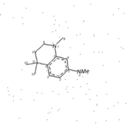 CNc1ccc2c(c1)N(C)CCC2(C)C